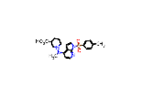 Cc1ccc(S(=O)(=O)n2ccc3c(N(C)N4CCCC(C(=O)O)C4)ccnc32)cc1